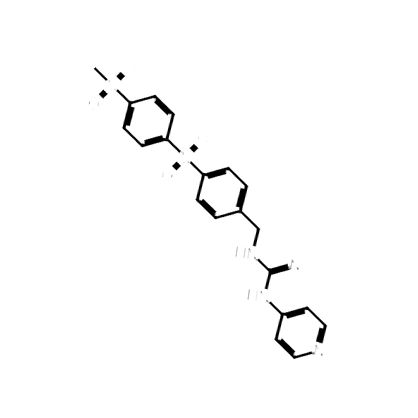 CS(=O)(=O)c1ccc(S(=O)(=O)c2ccc(CNC(=N)Nc3ccncc3)cc2)cc1